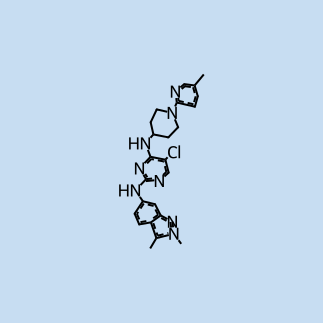 Cc1ccc(N2CCC(Nc3nc(Nc4ccc5c(C)n(C)nc5c4)ncc3Cl)CC2)nc1